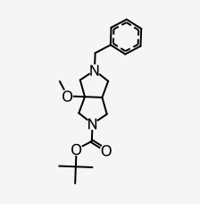 COC12CN(Cc3ccccc3)CC1CN(C(=O)OC(C)(C)C)C2